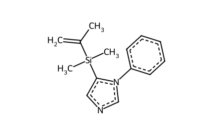 C=C(C)[Si](C)(C)c1cncn1-c1ccccc1